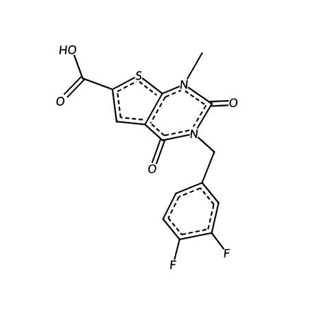 Cn1c(=O)n(Cc2ccc(F)c(F)c2)c(=O)c2cc(C(=O)O)sc21